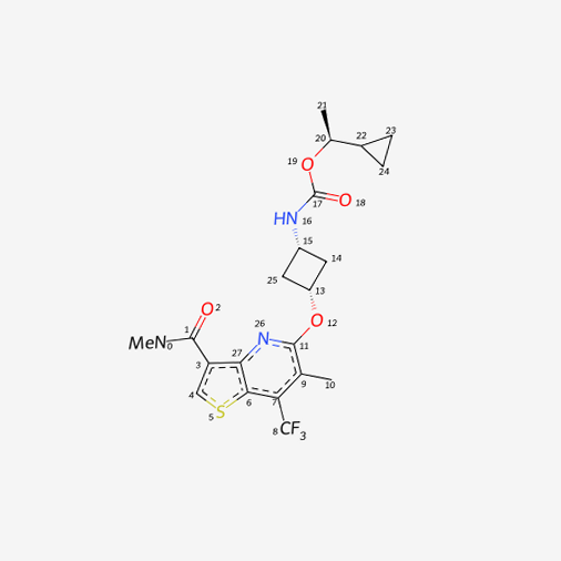 CNC(=O)c1csc2c(C(F)(F)F)c(C)c(O[C@H]3C[C@@H](NC(=O)O[C@@H](C)C4CC4)C3)nc12